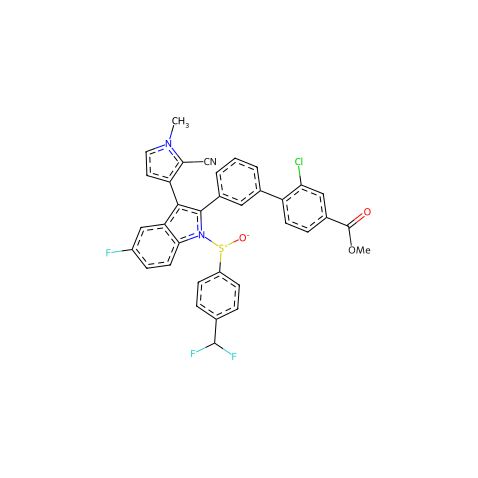 COC(=O)c1ccc(-c2cccc(-c3c(-c4ccn(C)c4C#N)c4cc(F)ccc4n3[S+]([O-])c3ccc(C(F)F)cc3)c2)c(Cl)c1